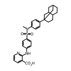 CN(c1ccc(C23CCC4CCC(CC4C2)C3)cc1)S(=O)(=O)c1ccc(Nc2ncccc2C(=O)O)cc1